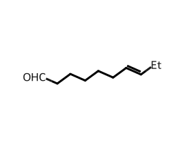 CC/C=C/CCCCCC=O